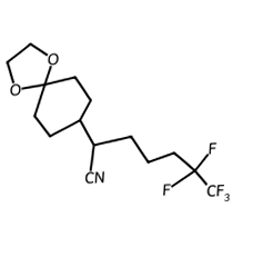 N#CC(CCCC(F)(F)C(F)(F)F)C1CCC2(CC1)OCCO2